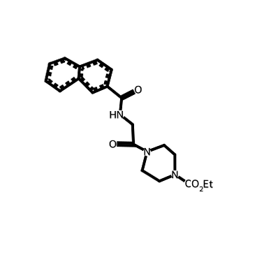 CCOC(=O)N1CCN(C(=O)CNC(=O)c2ccc3ccccc3c2)CC1